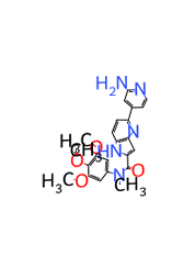 COc1cc(N(C)C(=O)c2cc3nc(-c4ccnc(N)c4)ccc3[nH]2)cc(OC)c1OC